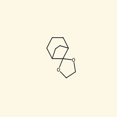 C1CC2CCC(C1)C21OCCO1